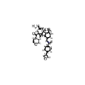 C[C@]1(c2cc(/C=C(\F)c3ccc(C4COC4)cn3)ccc2F)N=C(N)S[C@@]2(C(=O)N3CCOCC3)C[C@H]21